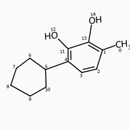 Cc1ccc(C2CCCCC2)c(O)c1O